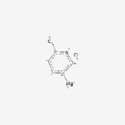 [Cl-].[Mg+][c]1ccc(Cl)nc1